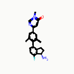 Cc1cc(-c2cc(=O)n(C)cn2)cc(C)c1-c1ccc(F)c2c1CC[C@H]2N